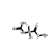 [CH2]S(CC)(NC(=N)N)C(=O)OC(C)(C)C